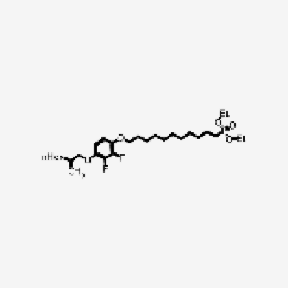 CCCCCCC(C)COc1ccc(OCCCCCCCCCCCP(=O)(OCC)OCC)c(F)c1F